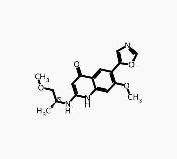 COC[C@H](C)Nc1cc(=O)c2cc(-c3cnco3)c(OC)cc2[nH]1